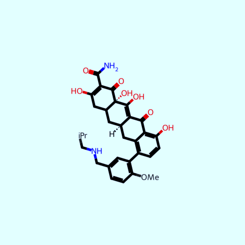 COc1ccc(CNCC(C)C)cc1-c1ccc(O)c2c1C[C@H]1CC3CC(O)=C(C(N)=O)C(=O)[C@@]3(O)C(O)=C1C2=O